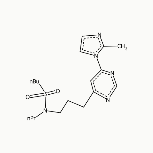 CCCCS(=O)(=O)N(CCC)CCCc1cc(-n2ccnc2C)ncn1